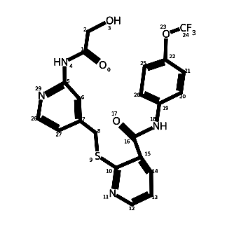 O=C(CO)Nc1cc(CSc2ncccc2C(=O)Nc2ccc(OC(F)(F)F)cc2)ccn1